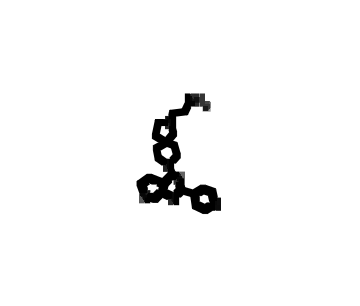 NCCN1CCC2(CCN(c3nc(-c4ccncc4)nc4cnccc34)CC2)C1